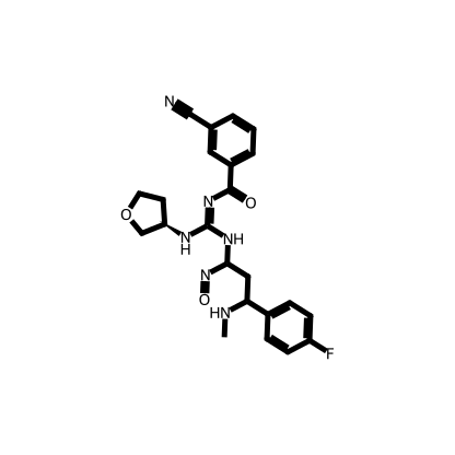 CNC(CC(N=O)N/C(=N\C(=O)c1cccc(C#N)c1)N[C@@H]1CCOC1)c1ccc(F)cc1